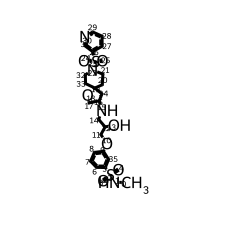 CNS(=O)(=O)c1cccc(OCC(O)CNC2COC3(CCN(S(=O)(=O)c4cccnc4)CC3)C2)c1